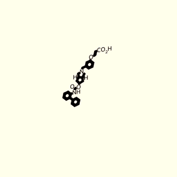 O=C(O)C=COc1cccc(CN2C[C@H]3CC(OC(=O)Nc4ccccc4-c4ccccc4)C[C@H]3C2)c1